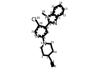 C#CC1CCN(c2cc(-c3nc4ccccc4n3C)c(Cl)cn2)CC1